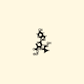 CC(C)(C)OC(=O)c1cnc(-n2ncc3cc(C#N)cnc32)cc1NC1(C=NO)CC1